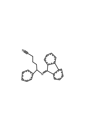 N#CCCCC(N=C1c2ccccc2-c2ccccc21)c1ccccc1